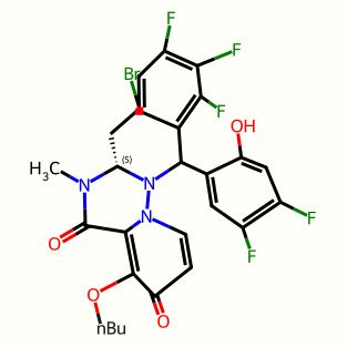 CCCCOc1c2n(ccc1=O)N(C(c1cc(F)c(F)cc1O)c1ccc(F)c(F)c1F)[C@@H](CCBr)N(C)C2=O